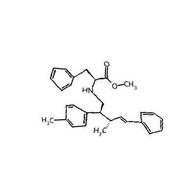 COC(=O)[C@H](Cc1ccccc1)NC[C@H](c1ccc(C)cc1)[C@@H](C)/C=C/c1ccccc1